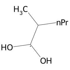 CCCC(C)[C](O)O